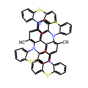 N#Cc1cc(N2c3ccccc3Sc3ccccc32)cc(-c2cc(N3c4ccccc4Sc4ccccc43)cc(C#N)c2N2c3ccccc3Sc3ccccc32)c1N1c2ccccc2Sc2ccccc21